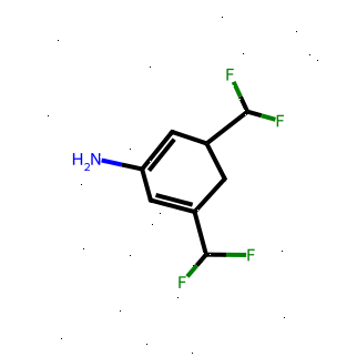 NC1=CC(C(F)F)CC(C(F)F)=C1